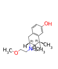 COCCN1CC[C@@]2(C)c3cc(O)ccc3C[C@@H]1[C@@H]2C